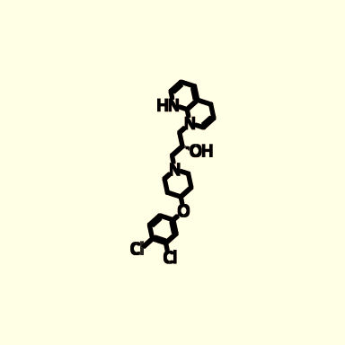 O[C@H](CN1CCC(Oc2ccc(Cl)c(Cl)c2)CC1)CN1C=CCC2=CC=CNC21